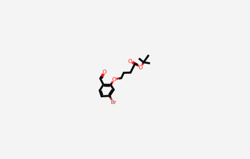 CC(C)(C)OC(=O)CCCOc1cc(Br)ccc1C=O